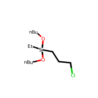 CCCCO[Si](CC)(CCCCl)OCCCC